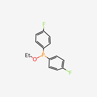 CCOP(c1ccc(F)cc1)c1ccc(F)cc1